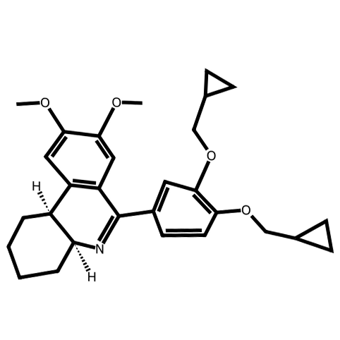 COc1cc2c(cc1OC)[C@@H]1CCCC[C@@H]1N=C2c1ccc(OCC2CC2)c(OCC2CC2)c1